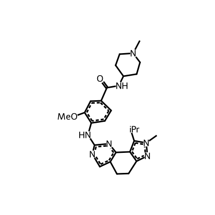 COc1cc(C(=O)NC2CCN(C)CC2)ccc1Nc1ncc2c(n1)-c1c(nn(C)c1C(C)C)CC2